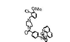 COc1cccc(CN2CCN(C(=O)c3ccc(NS(=O)(=O)c4cccc5cccnc45)cc3)CC2)c1Cl